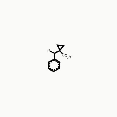 O=C(O)C1(C(F)c2ccccc2)CC1